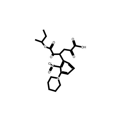 CCC(C)OC(=O)C(=O)C(CC(=O)C(=O)O)c1cccc(N2CCCCC2)c1[N+](=O)[O-]